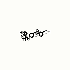 CN(c1ncnc2[nH]ccc12)C1CCC(CS(=O)(=O)N2CCCC(CO)C2)CC1